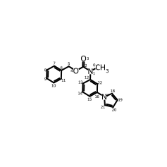 CN(C(=O)OCc1ccccc1)c1cccc(-n2cccc2)c1